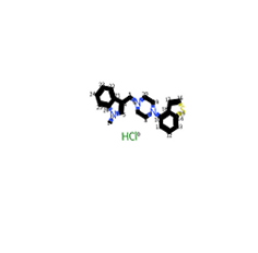 Cl.Cn1cc(CN2CCN(c3cccc4sccc34)CC2)c2ccccc21